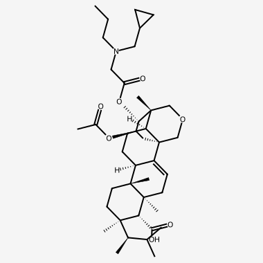 CCCN(CC(=O)O[C@H]1[C@H](OC(C)=O)C[C@@]23COC[C@]1(C)[C@@H]2CC[C@H]1C3=CC[C@@]2(C)[C@H](C(=O)O)[C@@](C)([C@H](C)C(C)C)CC[C@]12C)CC1CC1